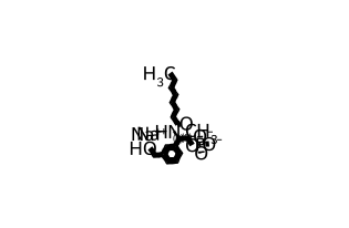 CCCCCCCC(=O)N[C@H](c1cccc(CO)c1)[C@H](C)OP(=O)([O-])[O-].[Na+].[Na+]